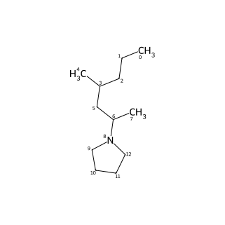 CCCC(C)CC(C)N1CCCC1